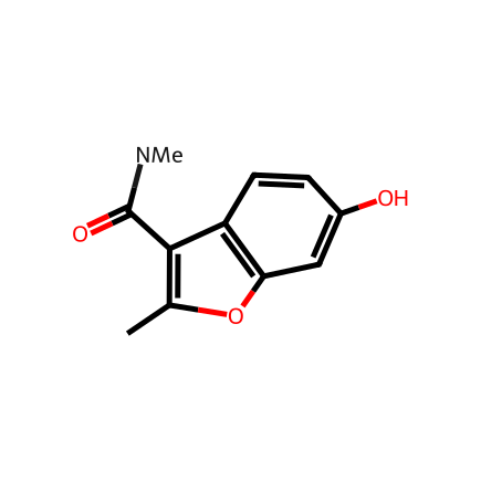 Cc1oc2cc(O)ccc2c1C(=O)N[12CH3]